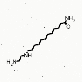 NCCNCCCCCCCCCCCC(N)=O